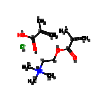 C=C(C)C(=O)O.C=C(C)C(=O)OCC[N+](C)(C)C.[Cl-]